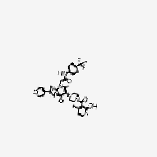 Cc1c(N2CCN(C(=O)c3c(F)ccnc3O)CC2)c(=O)n2nc(C3=CCOCC3)nc2n1CC(=O)Nc1ccc(C(F)(F)F)cc1